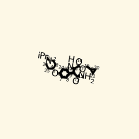 CC(C)N1CCC(Oc2ccc3c(C(N)=O)c(C(=O)OCC4CC4)[nH]c3c2)CC1